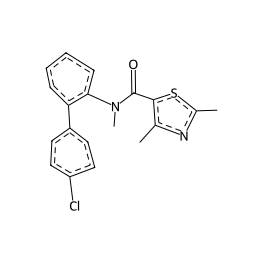 Cc1nc(C)c(C(=O)N(C)c2ccccc2-c2ccc(Cl)cc2)s1